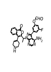 CC(c1oc(=O)c2ccccc2c1C1=CCNCC1)n1nc(-c2cc(F)cc(OC=O)c2)c2c(N)ncnc21